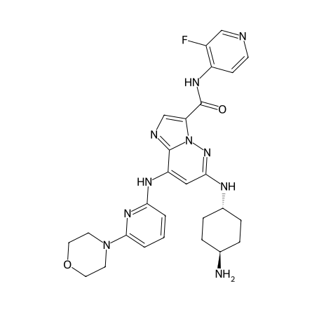 N[C@H]1CC[C@H](Nc2cc(Nc3cccc(N4CCOCC4)n3)c3ncc(C(=O)Nc4ccncc4F)n3n2)CC1